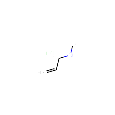 C=CCNC(C)=O.Cl